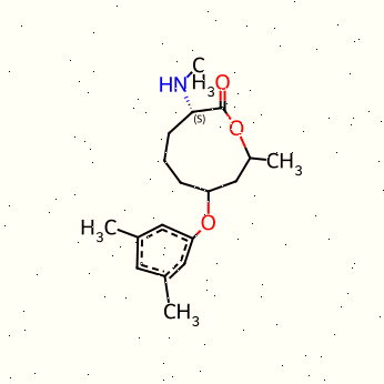 CN[C@H]1CCCC(Oc2cc(C)cc(C)c2)CC(C)OC1=O